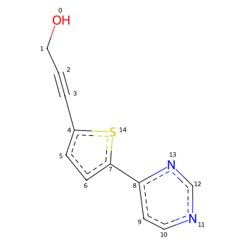 OCC#Cc1ccc(-c2ccncn2)s1